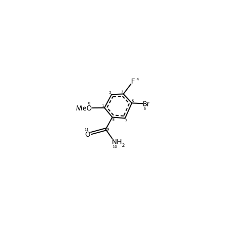 COc1cc(F)c(Br)cc1C(N)=O